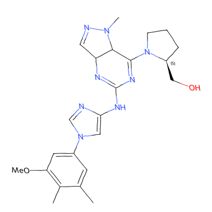 COc1cc(-n2cnc(NC3=NC4C=NN(C)C4C(N4CCC[C@H]4CO)=N3)c2)cc(C)c1C